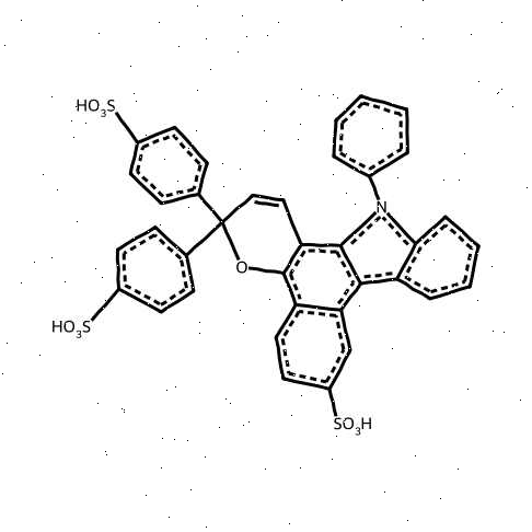 O=S(=O)(O)c1ccc(C2(c3ccc(S(=O)(=O)O)cc3)C=Cc3c(c4ccc(S(=O)(=O)O)cc4c4c5ccccc5n(-c5ccccc5)c34)O2)cc1